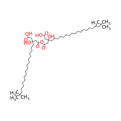 CC(C)(C)CCCCCCCCCCCCCCCCCC(O)(CC(=O)O)CC(=O)OC(=O)CC(O)(CCCCCCCCCCCCCCCCCC(C)(C)C)CC(=O)O